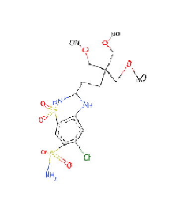 NS(=O)(=O)c1cc2c(cc1Cl)NC(CCC(CON=O)(CON=O)CON=O)NS2(=O)=O